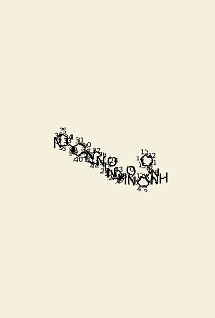 O=C(Nc1ccc2[nH]nc(-c3ccccc3)c2c1)[C@@H]1CCN(CC(=O)N2CCN(c3ccc(-c4cccnc4)cc3)CC2)C1